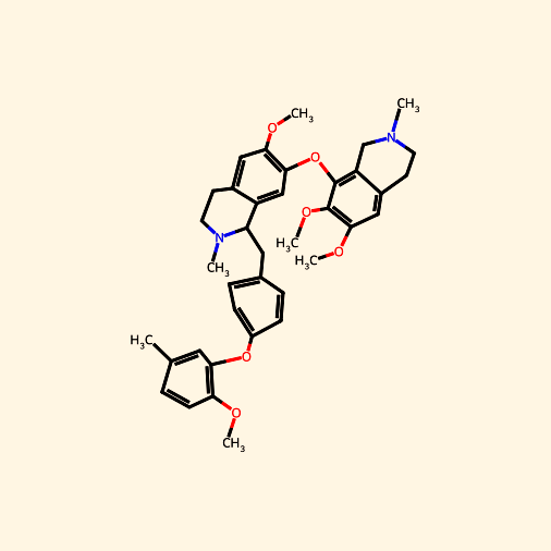 COc1ccc(C)cc1Oc1ccc(CC2c3cc(Oc4c5c(cc(OC)c4OC)CCN(C)C5)c(OC)cc3CCN2C)cc1